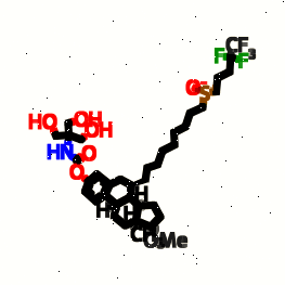 CO[C@H]1CC[C@H]2[C@@H]3[C@H](CCCCCCCCC[S+]([O-])CCCC(F)(F)C(F)(F)F)Cc4cc(OC(=O)NC(CO)(CO)CO)ccc4[C@H]3CC[C@]12C